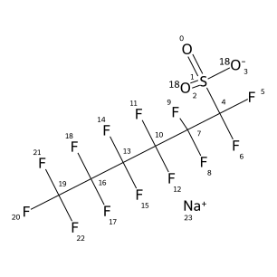 O=S(=[18O])([18O-])C(F)(F)C(F)(F)C(F)(F)C(F)(F)C(F)(F)C(F)(F)F.[Na+]